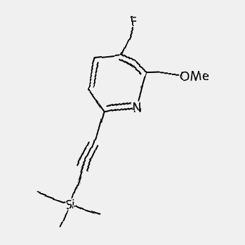 COc1nc(C#C[Si](C)(C)C)ccc1F